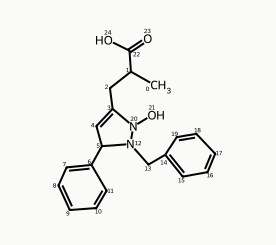 CC(CC1=CC(c2ccccc2)N(Cc2ccccc2)N1O)C(=O)O